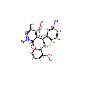 COc1ccccc1-c1sc2ccc(I)cc2c1-c1c(OC)c(C)nn(C)c1=O